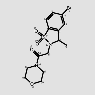 CC1c2cc(Br)ccc2S(=O)(=O)N1CC(=O)N1CCOCC1